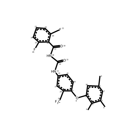 Cc1cc(C)c(C)c(Oc2ccc(NC(=O)NC(=O)c3c(F)cccc3F)cc2C(F)(F)F)c1